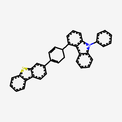 C1=CC(c2cccc3c2c2ccccc2n3-c2ccccc2)CC=C1c1ccc2c(c1)sc1ccccc12